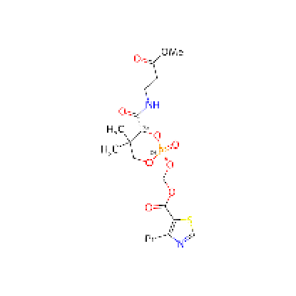 COC(=O)CCNC(=O)[C@@H]1O[P@@](=O)(OCOC(=O)c2scnc2C(C)C)OCC1(C)C